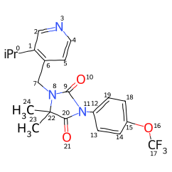 CC(C)c1cnccc1CN1C(=O)N(c2ccc(OC(F)(F)F)cc2)C(=O)C1(C)C